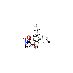 CCCCc1cc2c(cc1CCCC)C(=O)C(N(C)C)=CC2=O